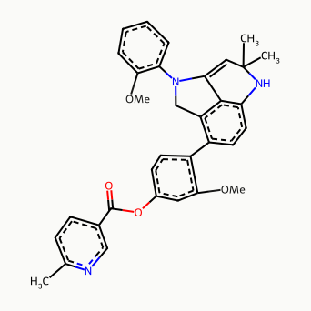 COc1cc(OC(=O)c2ccc(C)nc2)ccc1-c1ccc2c3c1CN(c1ccccc1OC)C3=CC(C)(C)N2